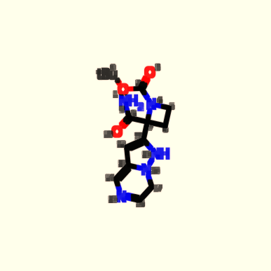 CC(C)(C)OC(=O)N1CCC1(C(N)=O)C1=CC2=CN=CCN2N1